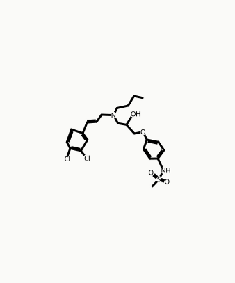 CCCCN(CC=Cc1ccc(Cl)c(Cl)c1)CC(O)COc1ccc(NS(C)(=O)=O)cc1